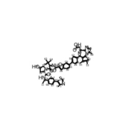 Cc1ncsc1-c1ccc(C(C)NC(=O)[C@@H]2C[C@@H](O)CN2C(=O)C(NC(=O)c2cc3ccc(-c4ccc(C5=N[C@@H](CC(=O)O)c6nnc(C)n6-c6sc(C)c(C)c65)cc4)cc3o2)C(C)(C)C)cc1